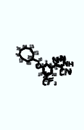 N#Cc1[nH]nnc1-c1cc(OCC2CCCCCCC2)cc(C(F)(F)F)c1